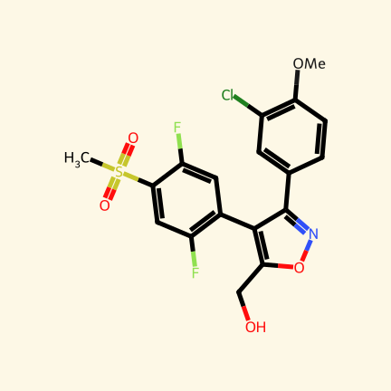 COc1ccc(-c2noc(CO)c2-c2cc(F)c(S(C)(=O)=O)cc2F)cc1Cl